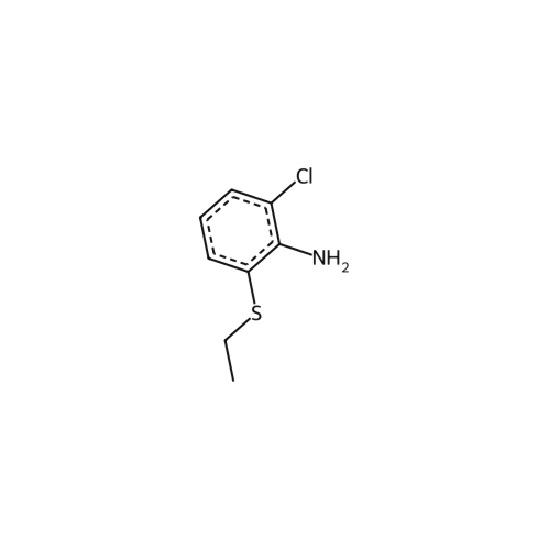 CCSc1cccc(Cl)c1N